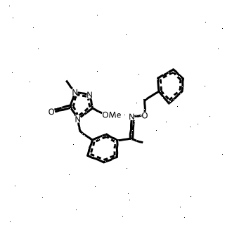 COc1nn(C)c(=O)n1Cc1cccc(C(C)=NOCc2ccccc2)c1